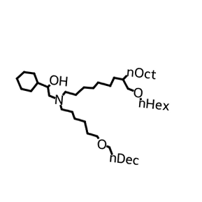 CCCCCCCCCCCOCCCCCCN(CCCCCCCC(CCCCCCCC)COCCCCCC)CC(O)C1CCCCC1